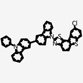 Clc1ccc2sc3ccc4nc(-n5c6ccccc6c6cc(-c7ccc8c(c7)c7ccccc7n8-c7ccccc7)ccc65)sc4c3c2c1